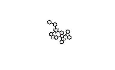 c1ccc(-c2cccc(-c3nc(-c4ccccc4)nc(-c4cccc5oc6ccc(-c7ccc(-n8c9ccccc9c9ccccc98)c8oc9ccccc9c78)cc6c45)n3)c2)cc1